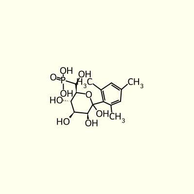 Cc1cc(C)c(C2(O)O[C@H](C(O)P(=O)(O)O)[C@@H](O)[C@H](O)[C@@H]2O)c(C)c1